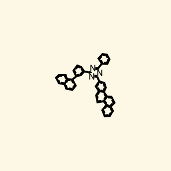 c1ccc(-c2nc(-c3cccc(-c4cccc5ccccc45)c3)nc(-c3ccc4c(ccc5c6ccccc6ccc45)c3)n2)cc1